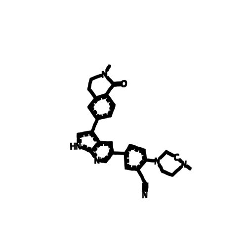 CN1CCN(c2ccc(-c3cnc4[nH]cc(-c5ccc6c(c5)CCN(C)C6=O)c4c3)cc2C#N)CC1